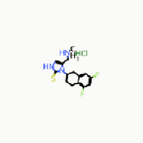 CNCc1c[nH]c(=S)n1C1CCc2c(F)cc(F)cc2C1.Cl